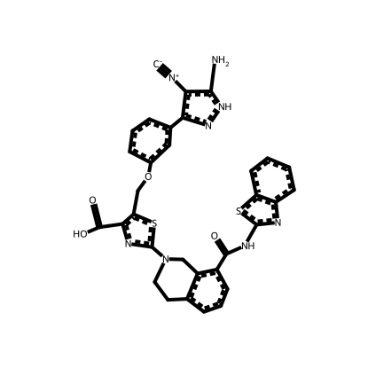 [C-]#[N+]c1c(-c2cccc(OCc3sc(N4CCc5cccc(C(=O)Nc6nc7ccccc7s6)c5C4)nc3C(=O)O)c2)n[nH]c1N